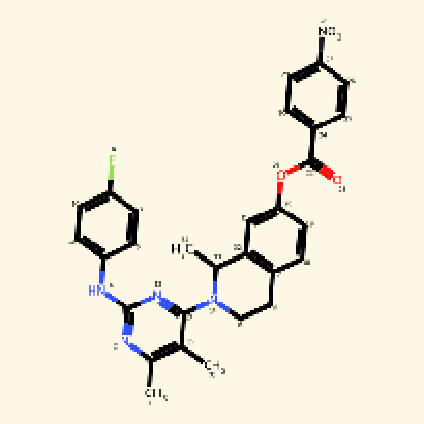 Cc1nc(Nc2ccc(F)cc2)nc(N2CCc3ccc(OC(=O)c4ccc([N+](=O)[O-])cc4)cc3C2C)c1C